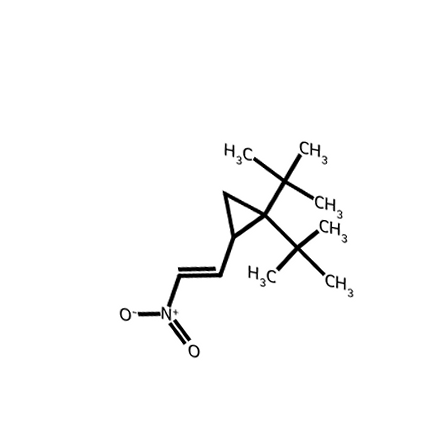 CC(C)(C)C1(C(C)(C)C)CC1/C=C/[N+](=O)[O-]